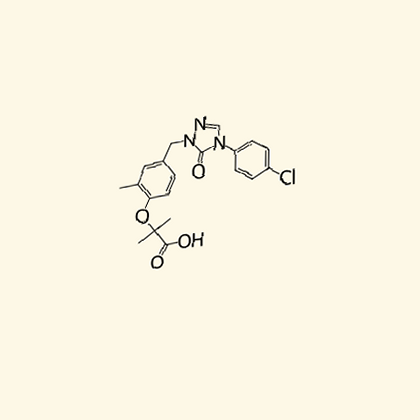 Cc1cc(Cn2ncn(-c3ccc(Cl)cc3)c2=O)ccc1OC(C)(C)C(=O)O